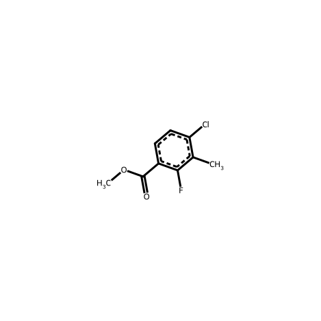 COC(=O)c1ccc(Cl)c(C)c1F